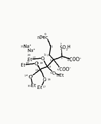 CCCCCCCCCCCCC(C(=O)[O-])(C(C(=O)[O-])S(=O)(=O)O)C(OCC)(OCC)C(OCC)(OCC)OCC.[Na+].[Na+]